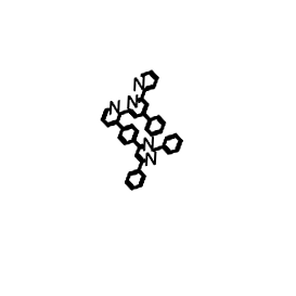 c1ccc(-c2cc(-c3ccccn3)nc(-c3ncccc3-c3ccc(-c4cc(-c5ccccc5)nc(-c5ccccc5)n4)cc3)c2)cc1